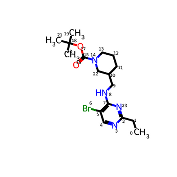 CCc1ncc(Br)c(NCC2CCCN(C(=O)OC(C)(C)C)C2)n1